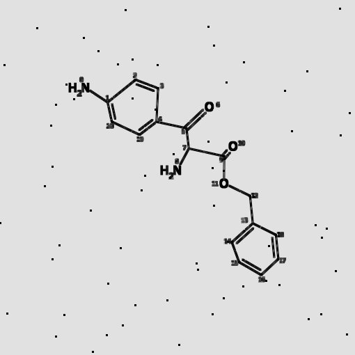 Nc1ccc(C(=O)C(N)C(=O)OCc2ccccc2)cc1